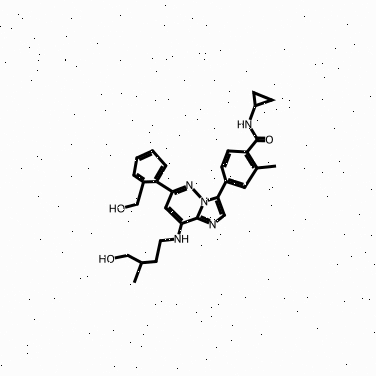 Cc1cc(-c2cnc3c(NCCC(C)CO)cc(-c4ccccc4CO)nn23)ccc1C(=O)NC1CC1